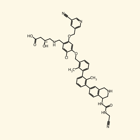 Cc1c(COc2cc(OCc3cncc(C#N)c3)c(CNC[C@@H](O)CC(=O)O)cc2Cl)cccc1-c1cccc(-c2ccc3c(c2)CNCC3NC(=O)NCC#N)c1C